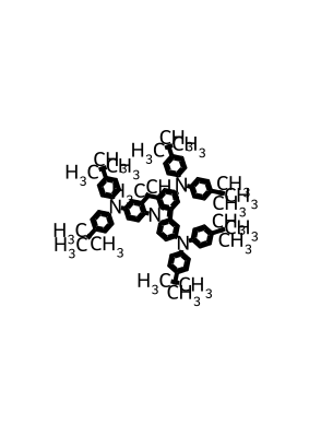 CC(C)(C)c1ccc(N(c2ccc(C(C)(C)C)cc2)c2ccc3c(c2)C(C)(C)c2cc(N(c4ccc(C(C)(C)C)cc4)c4ccc(C(C)(C)C)cc4)cc4c5cc(N(c6ccc(C(C)(C)C)cc6)c6ccc(C(C)(C)C)cc6)ccc5n-3c24)cc1